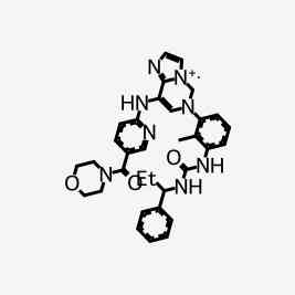 CCC(NC(=O)Nc1cccc(N2C=C(Nc3ccc(C(=O)N4CCOCC4)cn3)C3=NC=C[N+]3C2)c1C)c1ccccc1